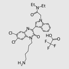 CCN(CC)C(=O)Cn1cc(-c2nc3cc(Cl)c(Cl)cc3n(CCCCCN)c2=O)c2ccccc21.O=C(O)C(F)(F)F